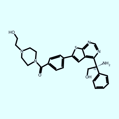 N[C@@](CO)(c1ccccc1)c1ncnc2sc(-c3ccc(C(=O)N4CCN(CCO)CC4)cc3)cc12